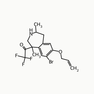 C=CCOc1cc2c(cc1Br)C(C)(C(=O)C(F)(F)F)CNC(C)C2